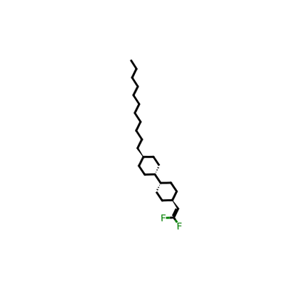 CCCCCCCCCCC[C@H]1CC[C@H]([C@H]2CC[C@H](C=C(F)F)CC2)CC1